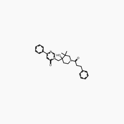 CC1(C)CN(C(=O)CCc2ccccc2)CCC1(O)Cn1cnc(-c2ccccc2)cc1=O